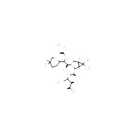 CCCC(NC(=O)[C@@H]1[C@@H]2[C@H](CN1C(=O)C(NC(=O)OC(C)(C)C)C1CCC(F)(F)CC1)C2(C)C)C(=O)C(N)=O